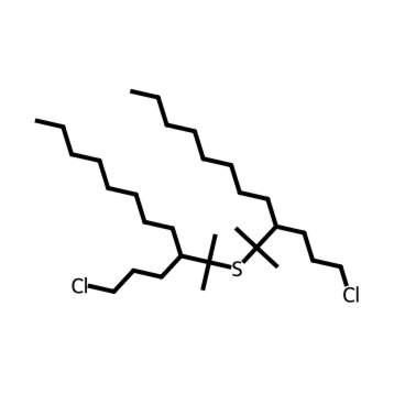 CCCCCCCCC(CCCCl)C(C)(C)SC(C)(C)C(CCCCl)CCCCCCCC